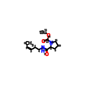 C/C=C\CCNC(=O)C1CCCN1C(=O)OC(C)(C)C